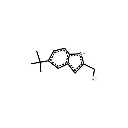 CC(C)(C)c1ccc2[nH]c(CO)cc2c1